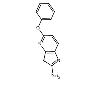 Nc1nc2ccc(Oc3ccccc3)nc2s1